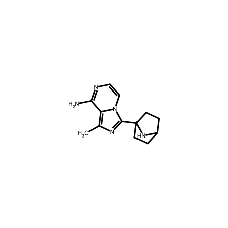 Cc1nc(C23CCC(CC2)N3)n2ccnc(N)c12